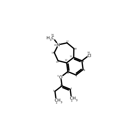 CC=C(CC)Oc1ccc(Cl)c2c1CCN(C)CC2